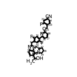 C=C(O)c1ccc2nc(Cc3cc(F)c(-c4cccc(OCc5ccc(C#N)cc5F)n4)cc3F)n(C[C@H]3CCCN3C(C)=O)c2c1